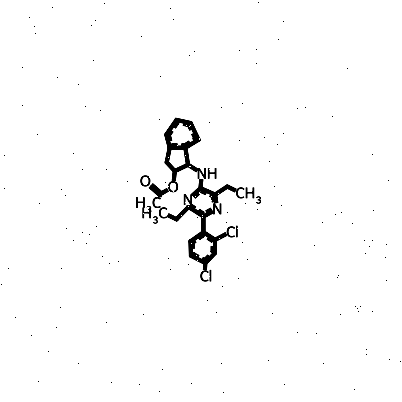 CCc1nc(-c2ccc(Cl)cc2Cl)c(CC)nc1NC1c2ccccc2CC1OC(C)=O